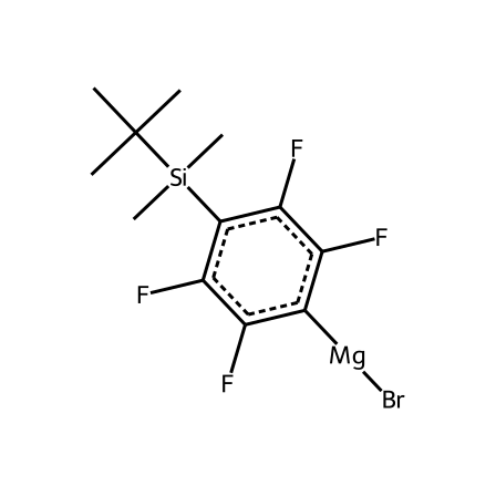 CC(C)(C)[Si](C)(C)c1c(F)c(F)[c]([Mg][Br])c(F)c1F